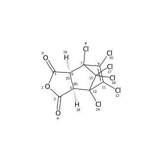 O=C1OC(=O)[C@H]2[C@@H]1C1(Cl)C(Cl)=C(Cl)C2(Cl)C1(Cl)Cl